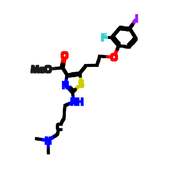 COC(=O)c1nc(NCCCCN(C)C)sc1CCCOc1ccc(I)cc1F